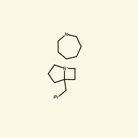 C1CCC[N]CC1.CC(C)CC12CCC[N+]1CC2